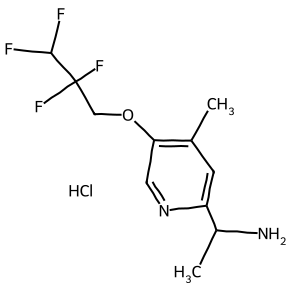 Cc1cc(C(C)N)ncc1OCC(F)(F)C(F)F.Cl